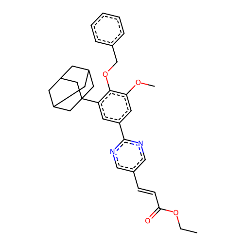 CCOC(=O)/C=C/c1cnc(-c2cc(OC)c(OCc3ccccc3)c(C34CC5CC(CC(C5)C3)C4)c2)nc1